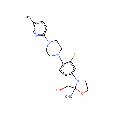 N#Cc1ccc(N2CCN(c3ccc(N4CCOC4(C=O)CO)cc3F)CC2)nc1